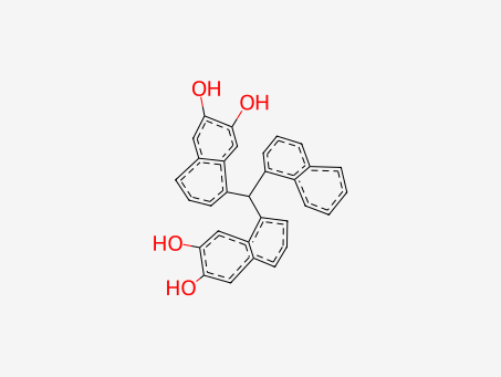 Oc1cc2cccc(C(c3cccc4ccccc34)c3cccc4cc(O)c(O)cc34)c2cc1O